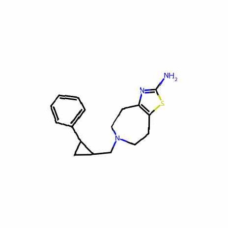 Nc1nc2c(s1)CCN(CC1CC1c1ccccc1)CC2